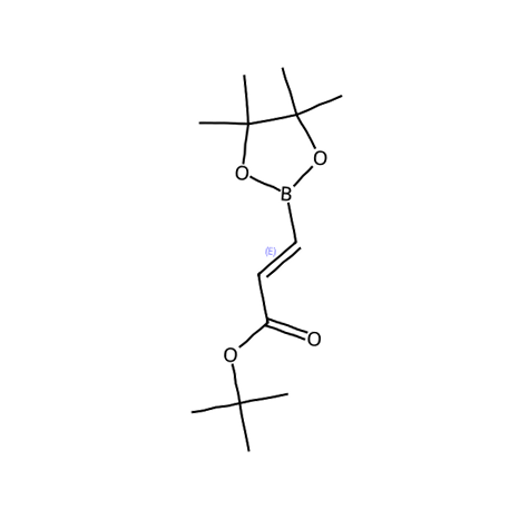 CC(C)(C)OC(=O)/C=C/B1OC(C)(C)C(C)(C)O1